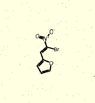 O=[N+]([O-])C(Br)=Cc1ccco1